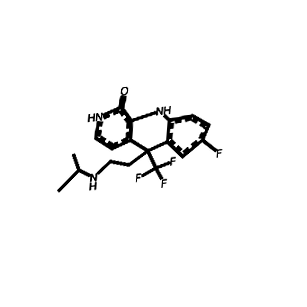 CC(C)NCCC1(C(F)(F)F)c2cc(F)ccc2Nc2c1cc[nH]c2=O